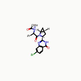 COC(=O)NC(C(=O)N1[C@@H]2C[C@@H]2C[C@H]1c1nc2cc(Br)ccc2c(=O)[nH]1)C(C)C